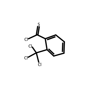 S=C(Cl)c1ccccc1C(Cl)(Cl)Cl